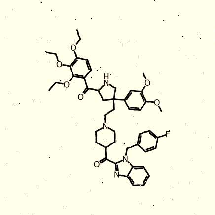 CCOc1ccc(C(=O)C2CC(CCN3CCC(C(=O)c4nc5ccccc5n4Cc4ccc(F)cc4)CC3)(c3ccc(OC)c(OC)c3)CN2)c(OCC)c1OCC